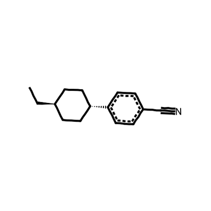 CC[C@H]1CC[C@H](c2ccc(C#N)cc2)CC1